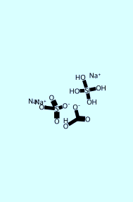 O=C([O-])O.O=S(=O)([O-])[O-].O[Si](O)(O)O.[Na+].[Na+].[Na+]